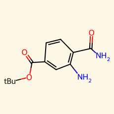 CC(C)(C)OC(=O)c1ccc(C(N)=O)c(N)c1